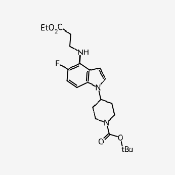 CCOC(=O)CCNc1c(F)ccc2c1ccn2C1CCN(C(=O)OC(C)(C)C)CC1